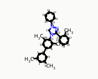 Cc1cc(C)cc(-c2cc(C)c(N3CN(c4ccccc4)N=C3c3ccccc3C)c(C)c2)c1